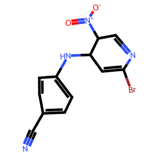 N#Cc1ccc(NC2C=C(Br)N=CC2[N+](=O)[O-])cc1